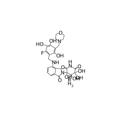 BC1(O)C(O)(O)C(=O)NC(=O)C1(O)N1Cc2c(NCc3c(O)c(CN4CCOCC4)c(O)c(O)c3F)cccc2C1=O